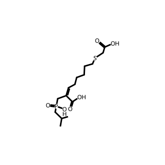 CC(C)CP(=O)(O)CC(=CCCCCCSCC(=O)O)C(=O)O